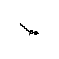 CCCCCCCCCCc1ccc(-c2ccc(C)cc2)cc1F